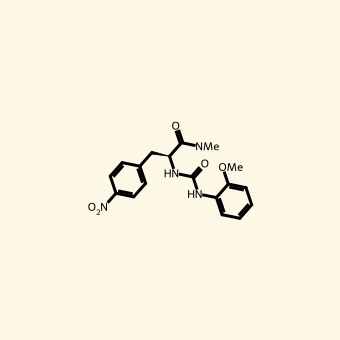 CNC(=O)[C@H](Cc1ccc([N+](=O)[O-])cc1)NC(=O)Nc1ccccc1OC